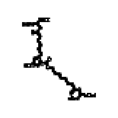 CCCCCCCCC(CCCCCC)OC(=O)CCCCCN1C[C@@H](O)C[C@H]1C(=O)OCCCCCCCC(=O)OC(CCCCCCCC)CCCCCCCC